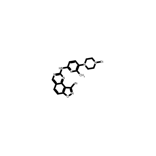 CCN1CCN(c2ccc(Nc3ncc4ccc5onc(C(C)C)c5c4n3)nc2C)CC1